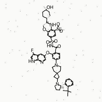 CC(C)(C)c1ccccc1[C@@H]1CCCN1C1CC2(CCN(c3ccc(C(=O)NS(=O)(=O)c4cc5c(c([N+](=O)[O-])c4)N[C@@H]([C@H]4CC[C@](C)(O)CC4)CO5)c(Oc4cnc5[nH]cc(F)c5c4)c3)CC2)C1